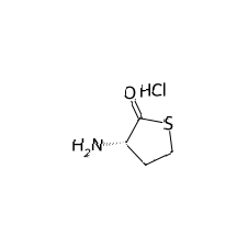 Cl.N[C@H]1CCSC1=O